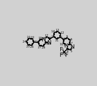 FC(F)(F)c1cnc2ccc(-c3cccc(-c4cn5cc(-c6ccccc6)ccc5n4)c3)cn12